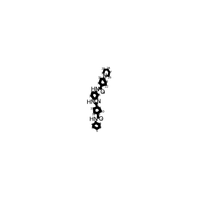 O=C(Nc1ccccc1)c1ccc(-c2nc3cc(NC(=O)c4ccc(N5CCCCC5)cc4)ccc3[nH]2)cc1